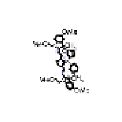 COCCN1/C(=C/C=C2\CCC(/C=C/C3=[N+](CCOC)c4ccc(OC)cc4C3(C)C)=C2N(c2ccccc2)c2ccccc2)C(C)(C)c2cc(OC)ccc21